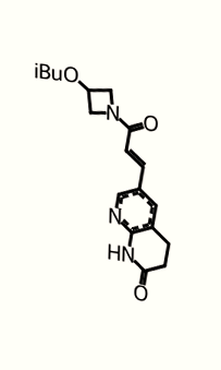 CC(C)COC1CN(C(=O)/C=C/c2cnc3c(c2)CCC(=O)N3)C1